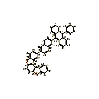 c1ccc(-c2c3ccccc3c(-c3ccc4cc(-c5ccc6sc7ccc8sc9ccccc9c8c7c6c5)ccc4c3)c3ccccc23)cc1